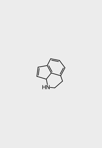 C1=CC2NCCc3cccc1c32